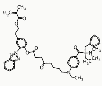 C=C(C)C(=O)OCCc1ccc(OC(=O)CCC(=O)CCCCN(CC)c2ccc(C(=O)C(CC)(Cc3ccccc3)N(C)C)cc2)c(-n2nc3ccccc3n2)c1